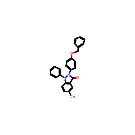 N#Cc1ccc2c(c1)c(=O)n(-c1ccc(OCc3ccccc3)cc1)n2-c1ccccc1